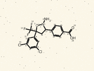 NN1OC(c2cc(Cl)cc(Cl)c2)(C(F)(F)F)CC1c1ccc(C(=O)O)cc1